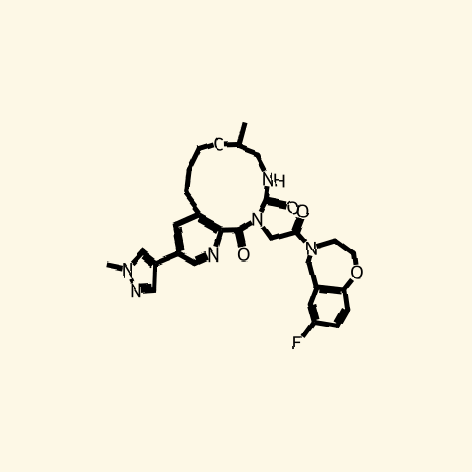 CC1CCCCc2cc(-c3cnn(C)c3)cnc2C(=O)N(CC(=O)N2CCOc3ccc(F)cc3C2)C(=O)NC1